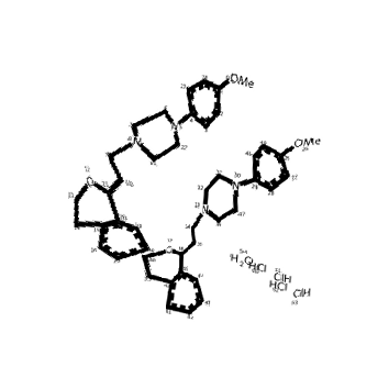 COc1ccc(N2CCN(CCC3OCCc4ccccc43)CC2)cc1.COc1ccc(N2CCN(CCC3OCCc4ccccc43)CC2)cc1.Cl.Cl.Cl.Cl.O